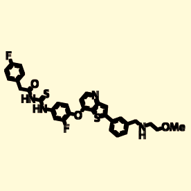 COCCNCc1cccc(-c2cc3nccc(Oc4ccc(NC(=S)NC(=O)Cc5ccc(F)cc5)cc4F)c3s2)c1